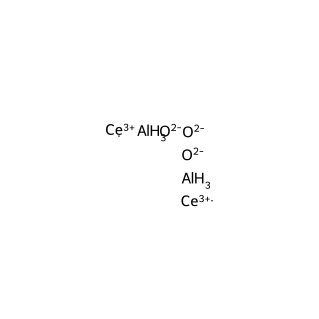 [AlH3].[AlH3].[Ce+3].[Ce+3].[O-2].[O-2].[O-2]